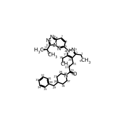 CCc1nn(-c2ccc3nnc(C(C)C)n3n2)c(CC)c1CCC(=O)N1CCC(Cc2ccccc2)CC1